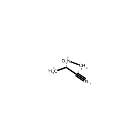 CCC#N.C[N+](=O)[O-]